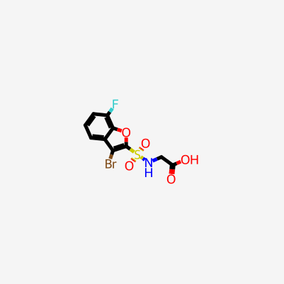 O=C(O)CNS(=O)(=O)c1oc2c(F)cccc2c1Br